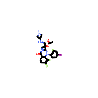 CC(=O)OC1(CNC2CNC2)CN(C(=O)c2ccc(F)c(F)c2Nc2ccc(I)cc2F)C1